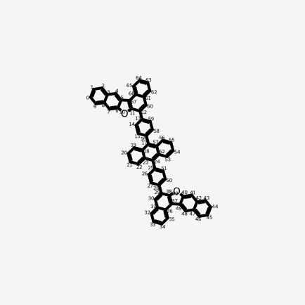 c1ccc2cc3c(cc2c1)oc1c(-c2ccc(-c4c5ccccc5c(-c5ccc(-c6cc7ccccc7c7c6oc6cc8ccccc8cc67)cc5)c5ccccc45)cc2)cc2ccccc2c13